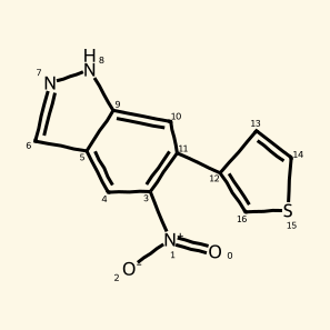 O=[N+]([O-])c1cc2cn[nH]c2cc1-c1ccsc1